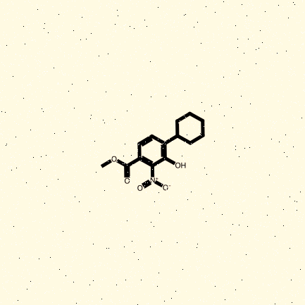 COC(=O)c1ccc(C2CCCCC2)c(O)c1[N+](=O)[O-]